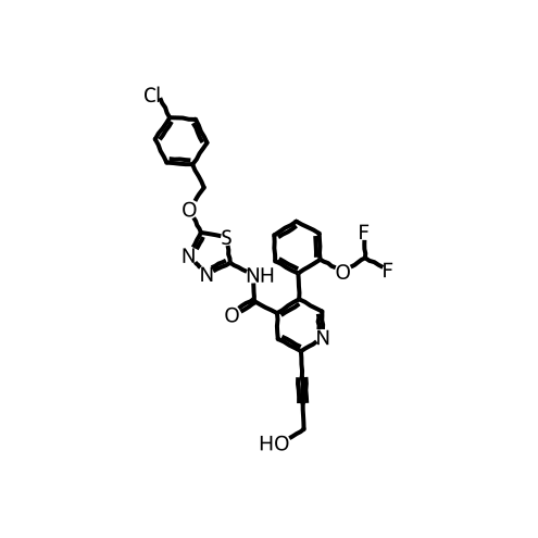 O=C(Nc1nnc(OCc2ccc(Cl)cc2)s1)c1cc(C#CCO)ncc1-c1ccccc1OC(F)F